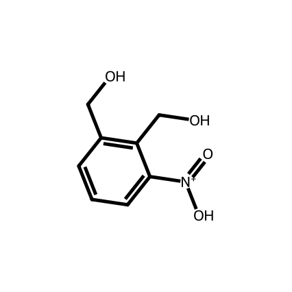 O=[N+](O)c1cccc(CO)c1CO